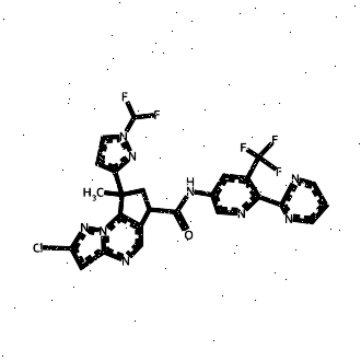 CC1(c2ccn(C(F)F)n2)CC(C(=O)Nc2cnc(-c3ncccn3)c(C(F)(F)F)c2)c2cnc3cc(Cl)nn3c21